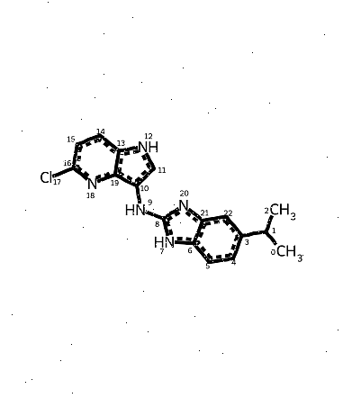 CC(C)c1ccc2[nH]c(Nc3c[nH]c4ccc(Cl)nc34)nc2c1